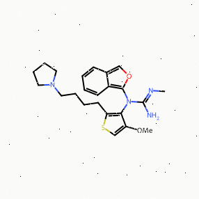 CN=C(N)N(c1c(OC)csc1CCCCN1CCCC1)c1occ2ccccc12